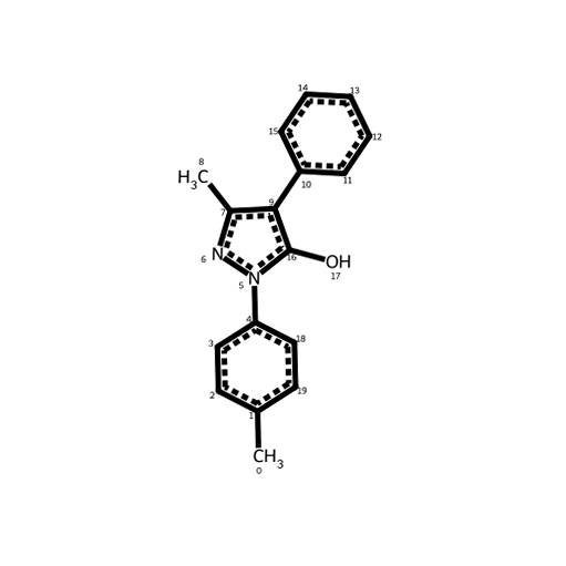 Cc1ccc(-n2nc(C)c(-c3ccccc3)c2O)cc1